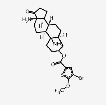 N[C@]12CC[C@H](OC(=O)c3cc(Br)c(OC(F)(F)F)s3)C[C@@H]1CC[C@@H]1[C@@H]2CC[C@]2(N)C(=O)CC[C@@H]12